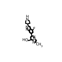 Cc1cn2nc(-c3cc(F)c4cc(C5CCNCC5)nnc4c3)cc(CO)c2n1